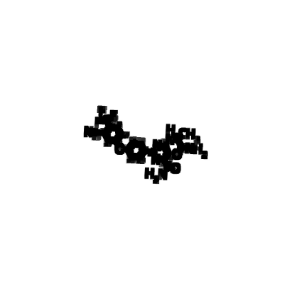 C[C@H](Nc1cc(C(N)=O)nc(-c2ccc(Oc3ccc(C(F)(F)F)c(C#N)c3)cc2)n1)C(N)=O